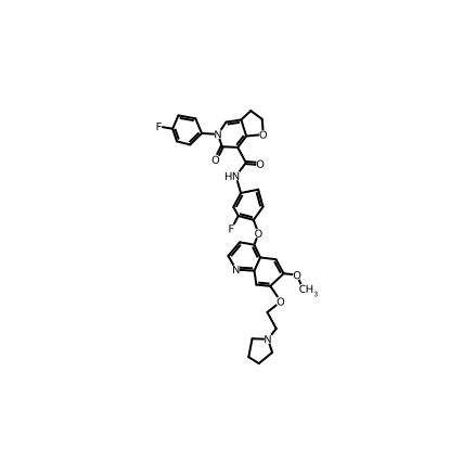 COc1cc2c(Oc3ccc(NC(=O)c4c5c(cn(-c6ccc(F)cc6)c4=O)CCO5)cc3F)ccnc2cc1OCCN1CCCC1